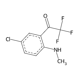 CNc1ccc(Cl)cc1C(=O)C(F)(F)F